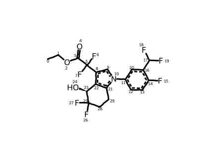 CCOC(=O)C(F)(F)c1cn(-c2ccc(F)c(C(F)F)c2)c2c1[C@H](O)C(F)(F)CC2